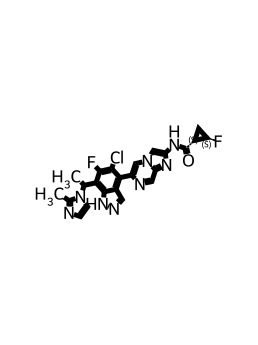 Cc1nccn1C(C)c1c(F)c(Cl)c(-c2cn3cc(NC(=O)[C@@H]4C[C@@H]4F)nc3cn2)c2cn[nH]c12